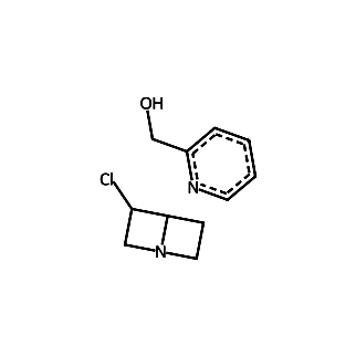 ClC1CN2CCC12.OCc1ccccn1